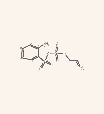 C=CCOS(=O)(=O)OS(=O)(=O)c1ccccc1N